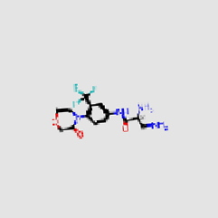 NC[C@H](N)C(=O)Nc1ccc(N2CCOCC2=O)c(C(F)(F)F)c1